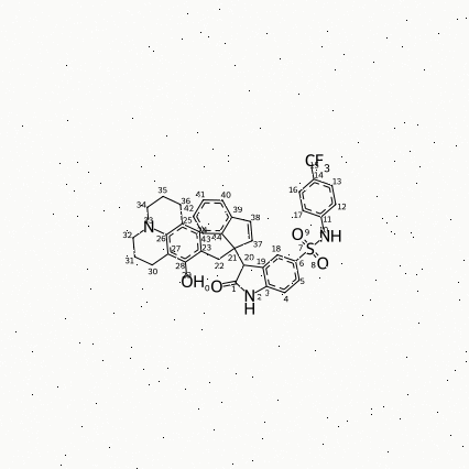 O=C1Nc2ccc(S(=O)(=O)Nc3ccc(C(F)(F)F)cc3)cc2C1C1(Cc2cc3c4c(c2O)CCCN4CCC3)C=Cc2ccccc21